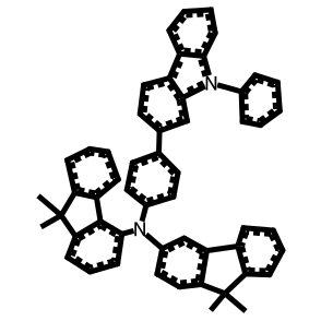 CC1(C)c2ccccc2-c2cc(N(c3ccc(-c4ccc5c6ccccc6n(-c6ccccc6)c5c4)cc3)c3cccc4c3-c3ccccc3C4(C)C)ccc21